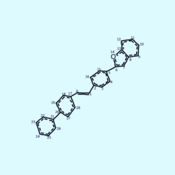 C(=C\c1ccc(-c2cc3ccccc3o2)cc1)/c1ccc(-c2ccccc2)cc1